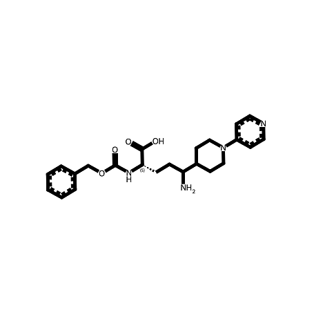 NC(CC[C@H](NC(=O)OCc1ccccc1)C(=O)O)C1CCN(c2ccncc2)CC1